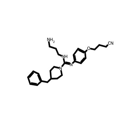 N#CCCCOc1ccc(/N=C(\NCCCN)N2CCC(Cc3ccccc3)CC2)cc1